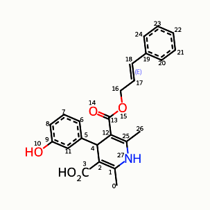 CC1=C(C(=O)O)C(c2cccc(O)c2)C(C(=O)OC/C=C/c2ccccc2)=C(C)N1